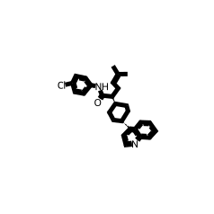 CC(C)=CCC(C(=O)Nc1ccc(Cl)cc1)[C@H]1CC[C@@H](c2ccnc3ccccc32)CC1